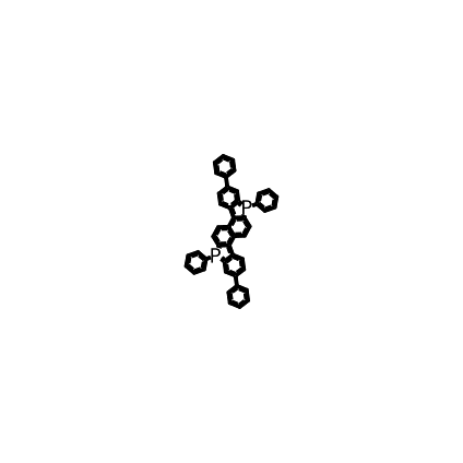 c1ccc(-c2ccc3c4c5ccc6c(c5ccc4p(-c4ccccc4)c3c2)c2ccc(-c3ccccc3)cc2p6-c2ccccc2)cc1